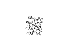 CCCCC1=C(CCCC)C([Si](C)(C)C2C(CCCC)=C(CCCC)c3ccccc32)c2ccccc21